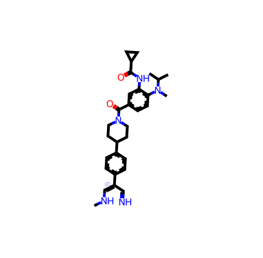 CN/C=C(\C=N)c1ccc(C2CCN(C(=O)c3ccc(N(C)C(C)C)c(NC(=O)C4CC4)c3)CC2)cc1